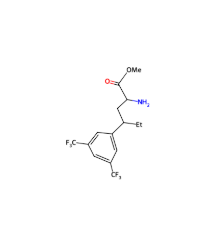 CCC(CC(N)C(=O)OC)c1cc(C(F)(F)F)cc(C(F)(F)F)c1